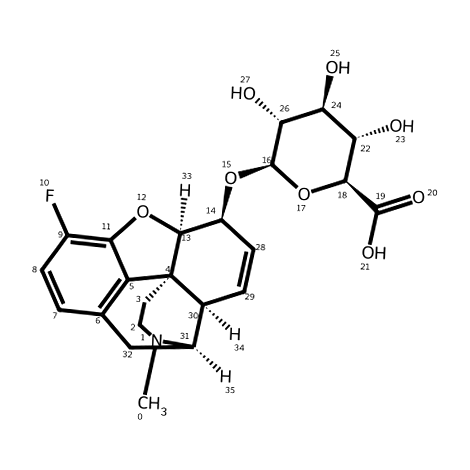 CN1CC[C@]23c4c5ccc(F)c4O[C@H]2[C@@H](O[C@@H]2O[C@H](C(=O)O)[C@@H](O)[C@H](O)[C@H]2O)C=C[C@H]3[C@H]1C5